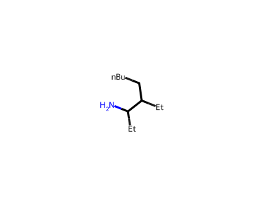 CCCCCC(CC)C(N)CC